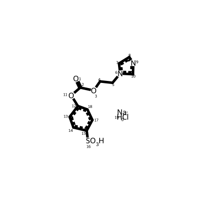 Cl.O=C(OCCn1ccnc1)Oc1ccc(S(=O)(=O)O)cc1.[Na]